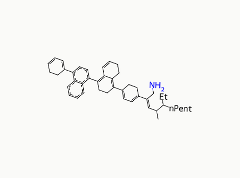 CCCCCC(CC)C(C)/C=C(\CN)C1=CC=C(C2=C3CCC=CC3=C(c3ccc(C4=CC=CCC4)c4ccccc34)CC2)CC1